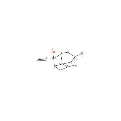 C#CC1(O)C2CC3CC1CC(Cl)(C3)C2